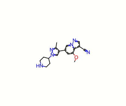 COc1cc(-c2cn(C3CCNCC3)nc2C)cn2ncc(C#N)c12